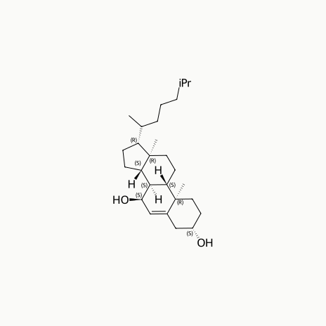 CC(C)CCCC(C)[C@H]1CC[C@H]2[C@@H]3[C@H](O)C=C4C[C@@H](O)CC[C@]4(C)[C@H]3CC[C@]12C